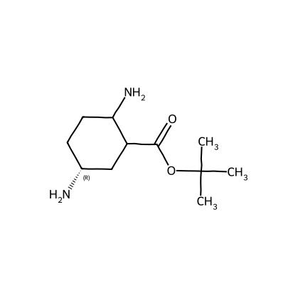 CC(C)(C)OC(=O)C1C[C@H](N)CCC1N